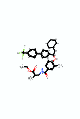 CCOC(=O)C(C)CNC(=O)c1ccc(OC(CC2CCCCC2)c2ccc(-c3ccc(C(F)(F)F)cc3)cc2)c(C)c1